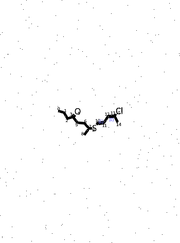 CCCC(=O)CCC(C)S/C=C/C=C(\C)Cl